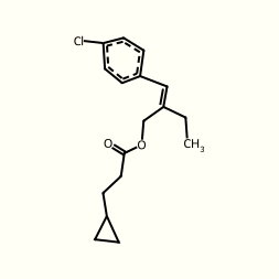 CCC(=Cc1ccc(Cl)cc1)COC(=O)CCC1CC1